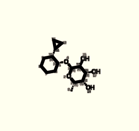 C[C@@H]1O[C@@H](O[C@@H]2[CH]CCC[C@@H]2C2CC2)[C@@H](O)[C@H](O)[C@@H]1O